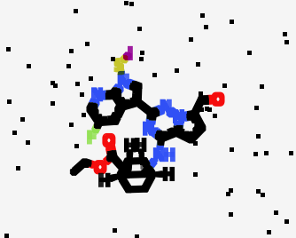 CCOC(=O)[C@H]1[C@H]2CC[C@H](CC2)[C@@H]1Nc1nc(-c2cn(SI)c3ncc(F)cc23)nn2c(C=O)ccc12